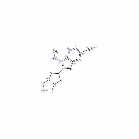 CNn1c(C2CC3CNCC3C2)cc2cc(C#N)cnc21